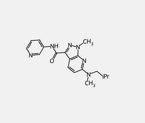 CC(C)CN(C)c1ccc2c(C(=O)Nc3cccnc3)nn(C)c2n1